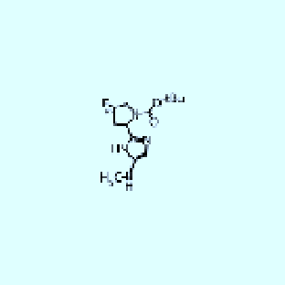 CBc1cnc(C2C[C@@H](F)CN2C(=O)OC(C)(C)C)[nH]1